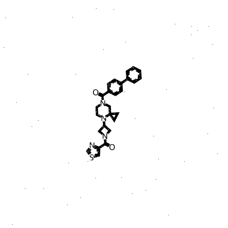 O=C(c1ccc(-c2ccccc2)cc1)N1CCN(C2CN(C(=O)c3cscn3)C2)C2(CC2)C1